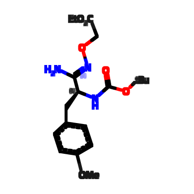 CCOC(=O)CO/N=C(\N)[C@H](Cc1ccc(OC)cc1)NC(=O)OC(C)(C)C